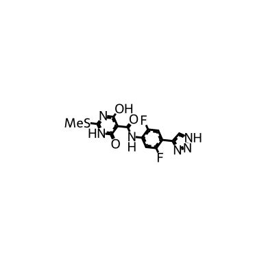 CSc1nc(O)c(C(=O)Nc2cc(F)c(-c3c[nH]nn3)cc2F)c(=O)[nH]1